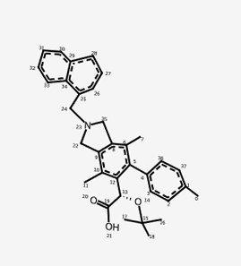 Cc1ccc(-c2c(C)c3c(c(C)c2[C@H](OC(C)(C)C)C(=O)O)CN(Cc2cccc4ccccc24)C3)cc1